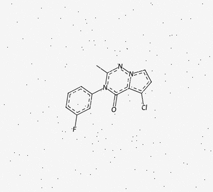 Cc1nn2ccc(Cl)c2c(=O)n1-c1cccc(F)c1